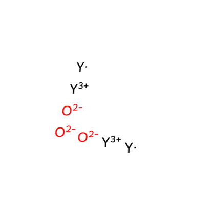 [O-2].[O-2].[O-2].[Y+3].[Y+3].[Y].[Y]